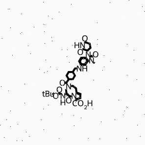 Cn1c(=O)n(C2CCC(=O)NC2=O)c2ccc(NCC3CCC(C(=O)N4CCC5=CC[C@@H](C(=O)O)N5C(=O)[C@@H](NC(=O)OC(C)(C)C)C4)CC3)cc21